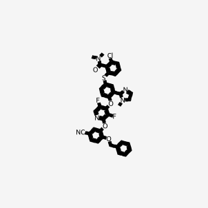 CN(C)C(=O)c1c(Cl)cccc1Sc1ccc(Oc2c(F)cnc(Oc3cc(C#N)ccc3OCc3ccccc3)c2F)c(C2N=CCN2C)c1